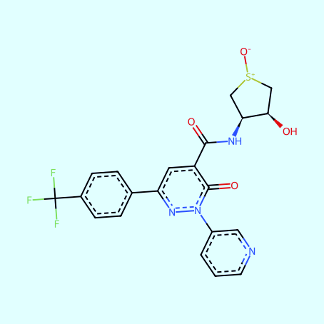 O=C(N[C@H]1C[S+]([O-])C[C@H]1O)c1cc(-c2ccc(C(F)(F)F)cc2)nn(-c2cccnc2)c1=O